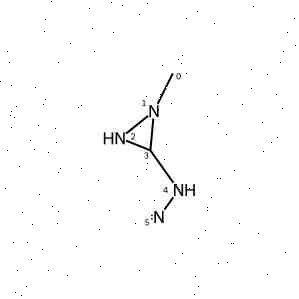 CN1NC1N[N]